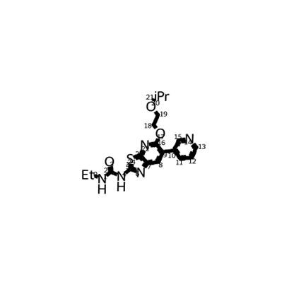 CCNC(=O)Nc1nc2cc(-c3cccnc3)c(OCCOC(C)C)nc2s1